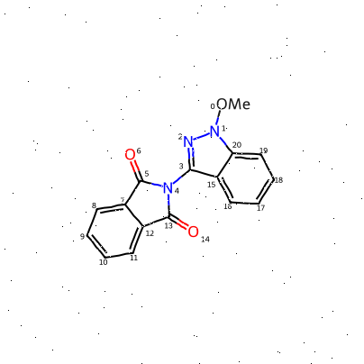 COn1nc(N2C(=O)c3ccccc3C2=O)c2ccccc21